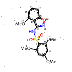 COc1cc(OC)c(S(=O)(=O)Nc2noc3cccc(OC)c23)c(OC)c1